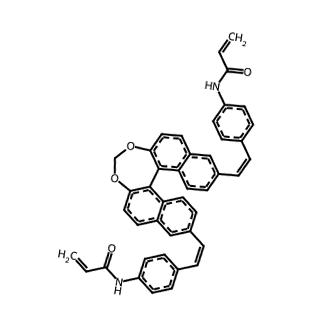 C=CC(=O)Nc1ccc(/C=C\c2ccc3c4c(ccc3c2)OCOc2ccc3cc(/C=C\c5ccc(NC(=O)C=C)cc5)ccc3c2-4)cc1